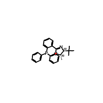 C[C@@H]1OC(c2ccccc2P(c2ccccc2)c2ccccc2)=N[C@H]1C(C)(C)C